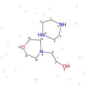 C1CNCCN1.OCCN1CCOCC1